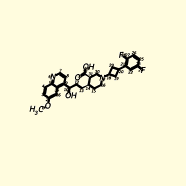 COc1ccc2nccc(C(O)CC[C@@H]3CCN(C4CC(c5cc(F)ccc5F)C4)C[C@@H]3C(=O)O)c2c1